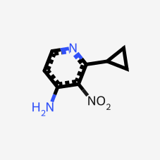 Nc1ccnc(C2CC2)c1[N+](=O)[O-]